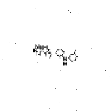 Cc1ccnc(Nc2cccc(-c3ccc(-c4nnn[nH]4)s3)n2)c1